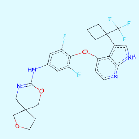 Fc1cc(NC2=NCC3(CCOC3)CO2)cc(F)c1Oc1ccnc2[nH]cc(C3(C(F)(F)F)CCC3)c12